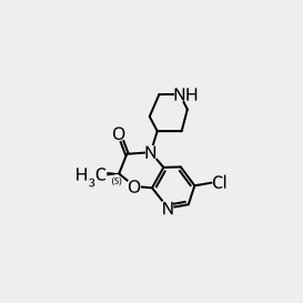 C[C@@H]1Oc2ncc(Cl)cc2N(C2CCNCC2)C1=O